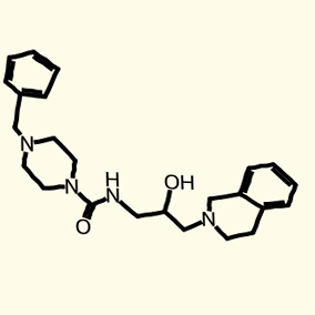 O=C(NCC(O)CN1CCc2ccccc2C1)N1CCN(Cc2ccccc2)CC1